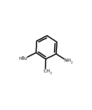 CCCCc1cccc(N)c1C